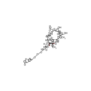 CC[C@H](C)[C@@H]1NC(=O)CNC(=O)[C@@H]2Cc3c([nH]c4c(CSCCNC(=O)NCCOCCOCCOCCn5cc(CN6C(=O)C=CC6=O)nn5)c(OC)ccc34)[S+]([O-])C[C@H](NC(=O)CNC1=O)C(=O)N[C@@H](CC(N)=O)C(=O)N1C[C@H](O)C[C@H]1C(=O)N[C@@H]([C@@H](C)[C@@H](O)CO)C(=O)N2